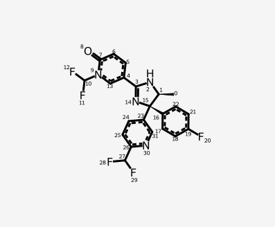 C[C@@H]1NC(c2ccc(=O)n(C(F)F)c2)=N[C@@]1(c1ccc(F)cc1)c1ccc(C(F)F)nc1